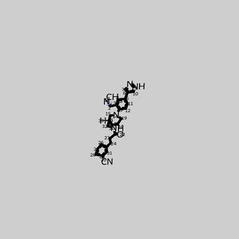 C/N=C\c1cc(-c2cn[nH]c2)ccc1N1C[C@@H]2C[C@@H](C1)N(C(=O)CCc1cccc(C#N)c1)C2